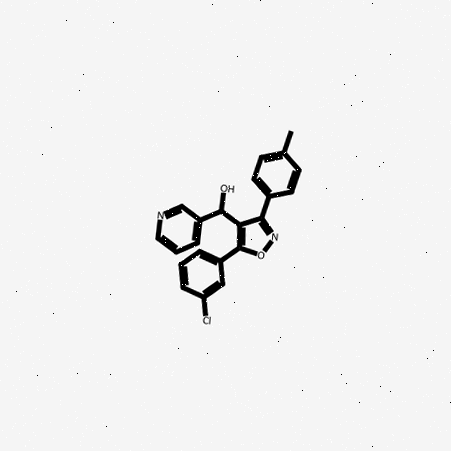 Cc1ccc(-c2noc(-c3cccc(Cl)c3)c2C(O)c2cccnc2)cc1